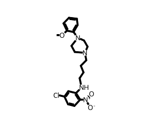 COc1ccccc1N1CCN(CCCCNc2cc(Cl)ccc2[N+](=O)[O-])CC1